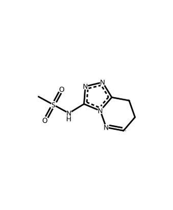 CS(=O)(=O)Nc1nnc2n1N=[C]CC2